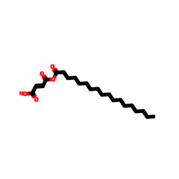 CCCCCCCCCCCCCCCCCC(=O)OC(=O)C=CC(=O)O